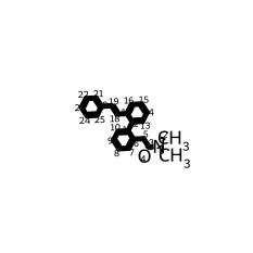 CN(C)C(=O)Cc1ccccc1-c1ccccc1C=Cc1ccccc1